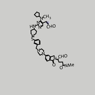 CNC(=O)CCC(C=O)N1Cc2cc(N3CCN(Cc4cccc(SN5CCC(Nc6ncc(/C=C\C=O)c(N(C)C7CCCC7)n6)CC5)c4)CC3)ccc2C1=O